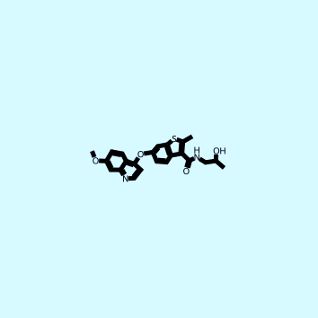 COc1ccc2c(Oc3ccc4c(C(=O)NCC(C)O)c(C)sc4c3)ccnc2c1